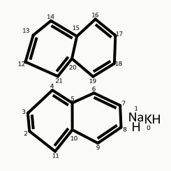 [KH].[NaH].c1ccc2ccccc2c1.c1ccc2ccccc2c1